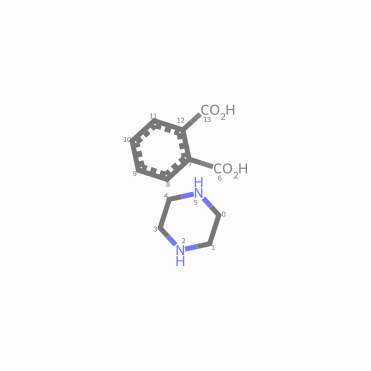 C1CNCCN1.O=C(O)c1ccccc1C(=O)O